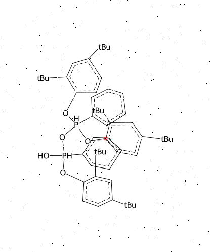 CC(C)(C)c1ccc(O[PH](O)(O[PH](Oc2ccc(C(C)(C)C)cc2C(C)(C)C)(Oc2ccc(C(C)(C)C)cc2C(C)(C)C)c2ccccc2)c2ccccc2)c(C(C)(C)C)c1